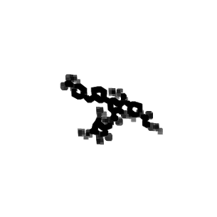 C=CC(=O)N1CCC(N(CC)c2cc(-c3cccc(CN4CCN(C(C)=O)CC4)c3)cc(C(=O)NCc3c(C)cc(C)[nH]c3=O)c2C)CC1